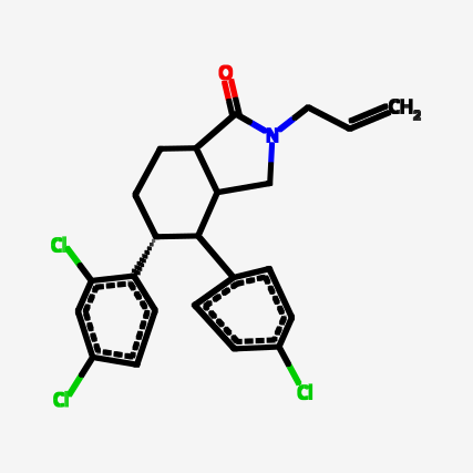 C=CCN1CC2C(CC[C@@H](c3ccc(Cl)cc3Cl)C2c2ccc(Cl)cc2)C1=O